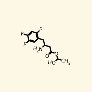 CC(O)OC(=O)CC(N)Cc1cc(F)c(F)cc1F